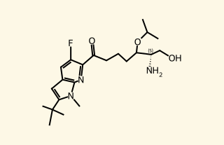 CC(C)OC(CCCC(=O)c1nc2c(cc1F)cc(C(C)(C)C)n2C)[C@@H](N)CO